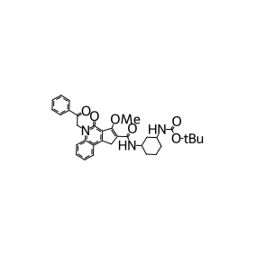 COC1=C(C(=O)NC2CCCC(NC(=O)OC(C)(C)C)C2)Cc2c1c(=O)n(CC(=O)c1ccccc1)c1ccccc21